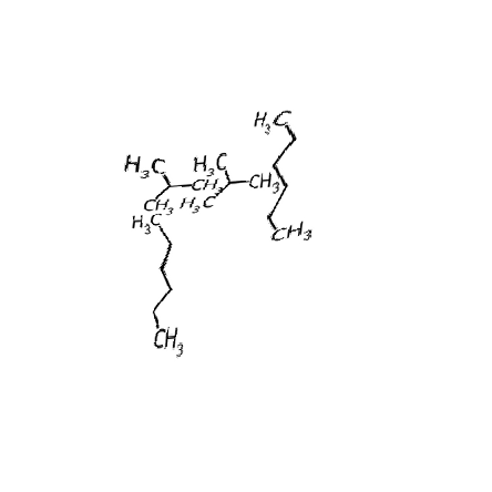 CC(C)C.CC(C)C.CCCCCC.CCCCCC